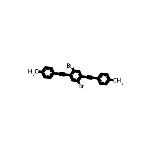 Cc1ccc(C#Cc2cc(Br)c(C#Cc3ccc(C)cc3)cc2Br)cc1